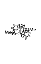 COC(=O)C1(c2cc(C)ccc2OC)CC(O)(c2cccc(OC)c2)CO1